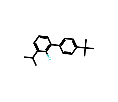 CC(C)c1cccc(-c2ccc(C(C)(C)C)cc2)c1F